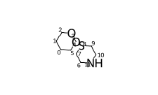 C1CCOOC1.C1CSCCN1